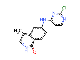 Cc1c[nH]c(=O)c2ccc(Nc3ccnc(Cl)n3)cc12